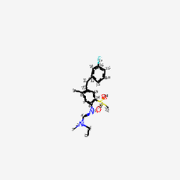 CCN(C)C=Nc1cc(C)c(Cc2cccc(F)c2)cc1S(C)(=O)=O